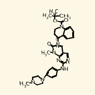 CN1CCN(c2ccc(Nc3ncc4c(n3)N(C)C(=O)N([C@H]3CCN(C(=O)OC(C)(C)C)c5ccccc53)C4)cc2)CC1